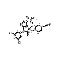 CC1(Cc2ccc(C#N)cc2)C(=O)N(c2cc(Cl)cc(Cl)c2)c2ncc(S(N)(=O)=O)n21